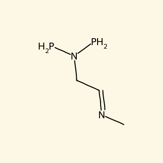 CN=CCN(P)P